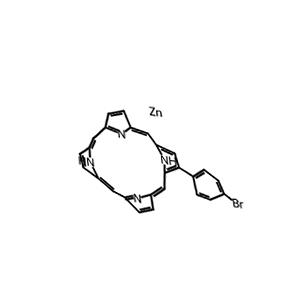 Brc1ccc(-c2cc3cc4nc(cc5ccc(cc6nc(cc2[nH]3)C=C6)[nH]5)C=C4)cc1.[Zn]